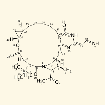 CC(=O)[C@@H]1[C@H](C)[C@@H]2CN1C(=O)[C@H](C(C)(C)C)NC(=O)O[C@@H]1C[C@H]1CCCCCN1C(=O)N/C(=C\C=N)N=C1O2